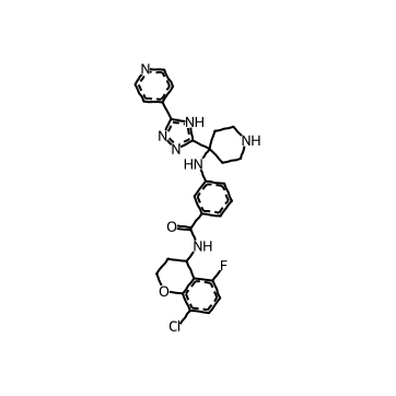 O=C(NC1CCOc2c(Cl)ccc(F)c21)c1cccc(NC2(c3nnc(-c4ccncc4)[nH]3)CCNCC2)c1